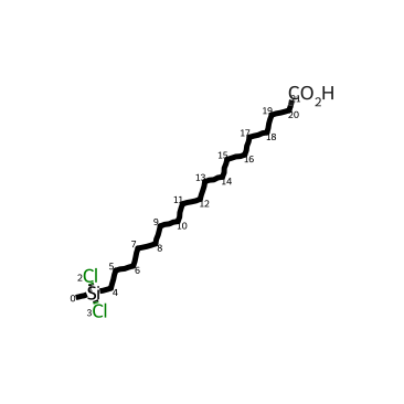 C[Si](Cl)(Cl)CCCCCCCCCCCCCCCCCC(=O)O